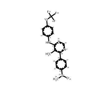 Cc1c(Nc2ccc(OC(F)(F)F)cc2)ncnc1-c1ccc([S+](C)[O-])cc1